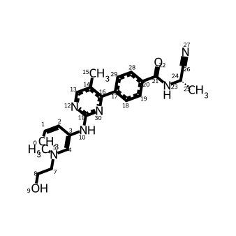 C/C=C\C(=C/N(C)CCO)Nc1ncc(C)c(-c2ccc(C(=O)N[C@@H](C)C#N)cc2)n1